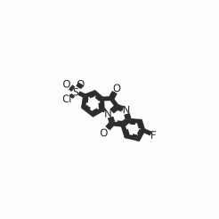 O=C1c2cc(S(=O)(=O)Cl)ccc2-n2c1nc1cc(F)ccc1c2=O